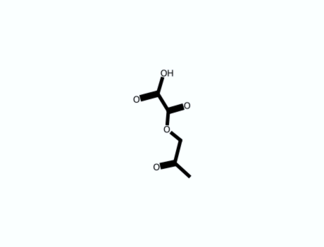 CC(=O)COC(=O)C(=O)O